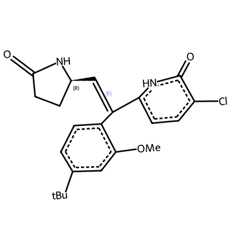 COc1cc(C(C)(C)C)ccc1/C(=C\[C@H]1CCC(=O)N1)c1ccc(Cl)c(=O)[nH]1